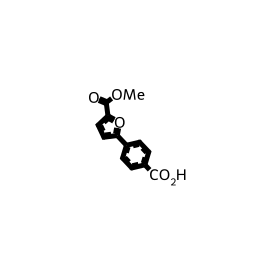 COC(=O)c1ccc(-c2ccc(C(=O)O)cc2)o1